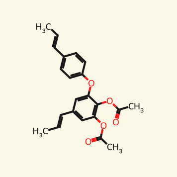 C/C=C/c1ccc(Oc2cc(/C=C/C)cc(OC(C)=O)c2OC(C)=O)cc1